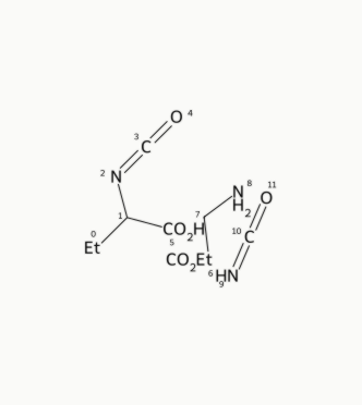 CCC(N=C=O)C(=O)O.CCOC(=O)CN.N=C=O